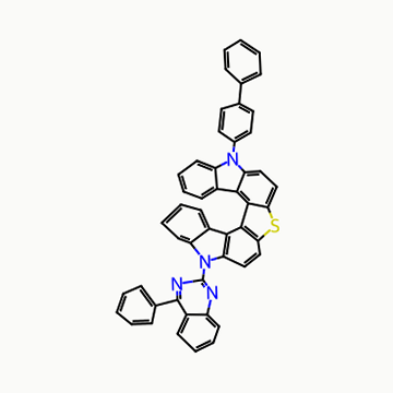 c1ccc(-c2ccc(-n3c4ccccc4c4c5c(ccc43)sc3ccc4c(c6ccccc6n4-c4nc(-c6ccccc6)c6ccccc6n4)c35)cc2)cc1